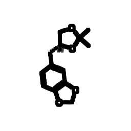 CC1(C)OC[C@@H](Cc2ccc3c(c2)OCO3)O1